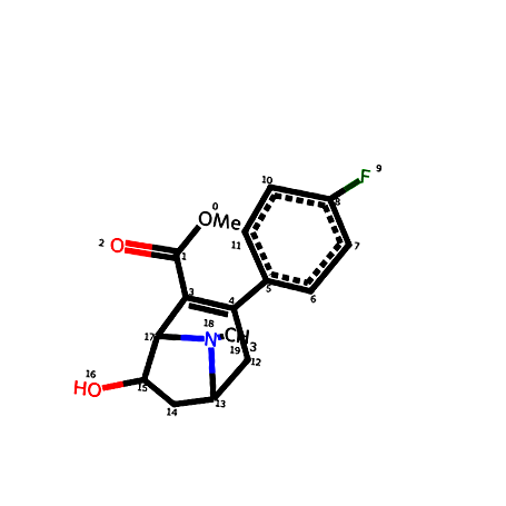 COC(=O)C1=C(c2ccc(F)cc2)CC2CC(O)C1N2C